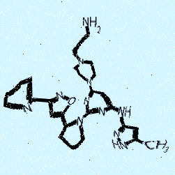 Cc1cc(Nc2cc(N3CCN(CCN)CC3)nc(N3CCCC3c3cc(-c4ccccn4)no3)n2)n[nH]1